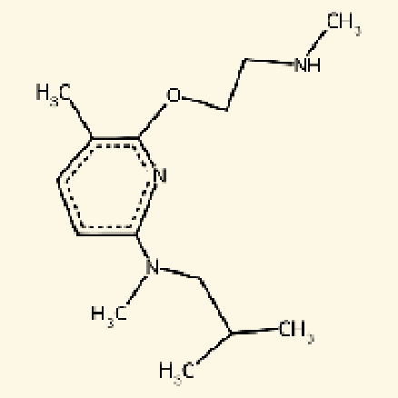 CNCCOc1nc(N(C)CC(C)C)ccc1C